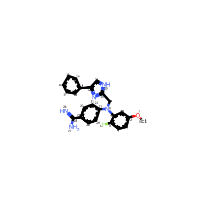 CCOc1ccc(F)c(N(Cc2nc(-c3ccccc3)c[nH]2)c2ccc(C(=N)N)cc2)c1